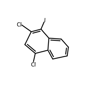 Clc1cc(Cl)c2ccccc2c1I